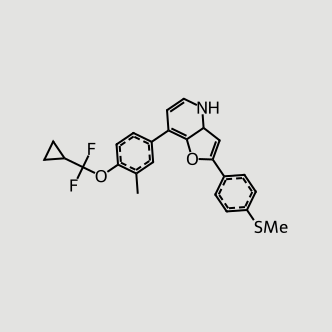 CSc1ccc(C2=CC3NC=CC(c4ccc(OC(F)(F)C5CC5)c(C)c4)=C3O2)cc1